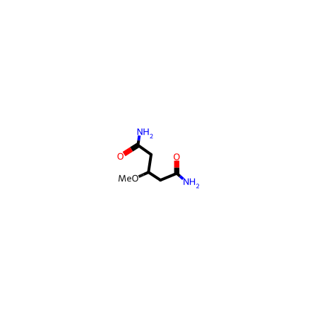 COC(CC(N)=O)CC(N)=O